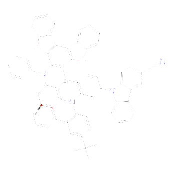 Cc1cc2c3c(c1)N(c1ccccc1)c1c(c4oc5ccccc5c4c4c1oc1ccccc14)B3c1ccc(-n3c4ccccc4c4cc(C#N)ccc43)cc1N2c1ccc(C(C)(C)C)cc1-c1ccccc1